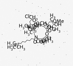 CC[C@H]1OC(=O)[C@H](C)[C@@H](O[C@H]2C[C@@](C)(OC)[C@@H](O)[C@H](C)O2)[C@H](C)[C@@H](O[C@@H]2O[C@H](C)C[C@H](N(C)C)[C@H]2O)[C@](C)(O)C[C@@H](C)CN(C(=O)CCCCCCC[P+](C)(C)C)[C@H](C)[C@@H](O)[C@]1(C)O.[Cl-]